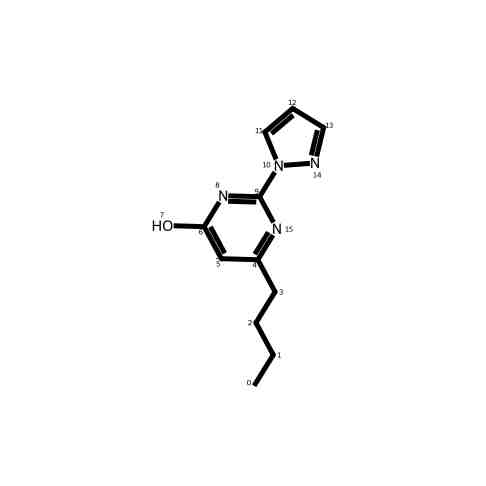 CCCCc1[c]c(O)nc(-n2cccn2)n1